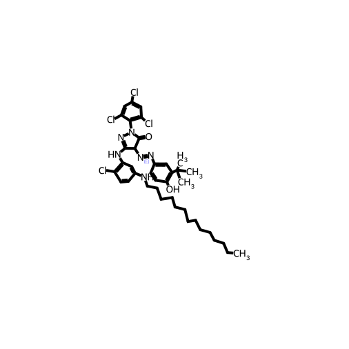 CCCCCCCCCCCCCCNc1ccc(Cl)c(NC2=NN(c3c(Cl)cc(Cl)cc3Cl)C(=O)C2/N=N/c2ccc(O)c(C(C)(C)C)c2)c1